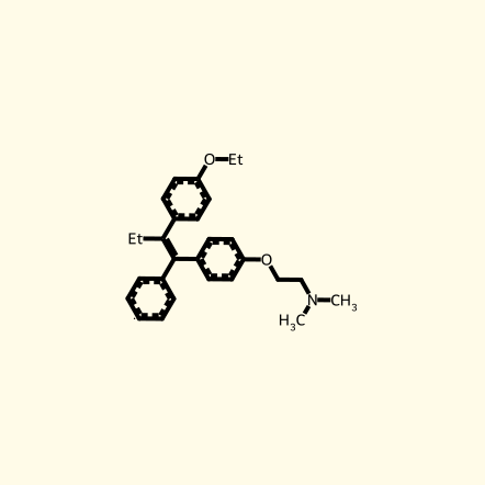 CCOc1ccc(C(CC)=C(c2cc[c]cc2)c2ccc(OCCN(C)C)cc2)cc1